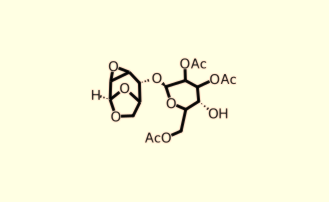 CC(=O)OCC1O[C@@H](O[C@@H]2C3CO[C@H](O3)C3OC32)C(OC(C)=O)C(OC(C)=O)[C@@H]1O